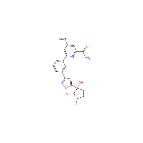 COc1cc(C(N)=O)nc(-c2cccc(-c3cc(C4(O)CCN(C)C4=O)on3)c2)c1